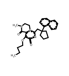 CCCCOc1c2n(c(CC3(c4cccc5ccccc45)CCCC3)nc1=O)CCN(C)C2=O